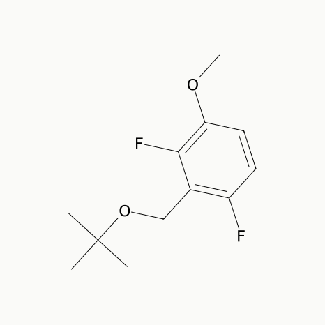 COc1ccc(F)c(COC(C)(C)C)c1F